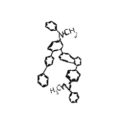 CN(c1ccccc1)c1ccc(-c2cccc3cc(-c4cc(N(C)c5ccccc5)ccc4-c4ccc(-c5ccccc5)cc4)ccc23)cc1